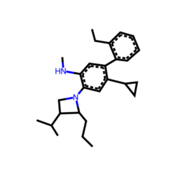 CCCC1C(C(C)C)CN1c1cc(C2CC2)c(-c2ccccc2CC)cc1NC